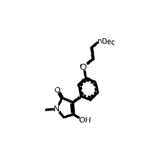 CCCCCCCCCCCCOc1cccc(C2=C(O)CN(C)C2=O)c1